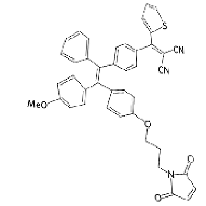 COc1ccc(/C(=C(\c2ccccc2)c2ccc(C(=C(C#N)C#N)c3cccs3)cc2)c2ccc(OCCCN3C(=O)C=CC3=O)cc2)cc1